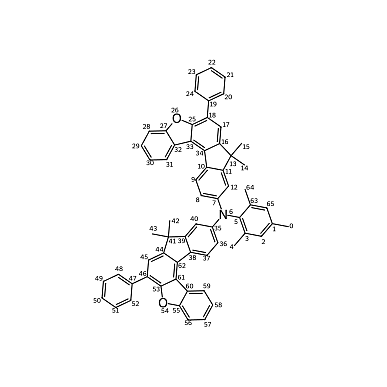 Cc1cc(C)c(N(c2ccc3c(c2)C(C)(C)c2cc(-c4ccccc4)c4oc5ccccc5c4c2-3)c2ccc3c(c2)C(C)(C)c2cc(-c4ccccc4)c4oc5ccccc5c4c2-3)c(C)c1